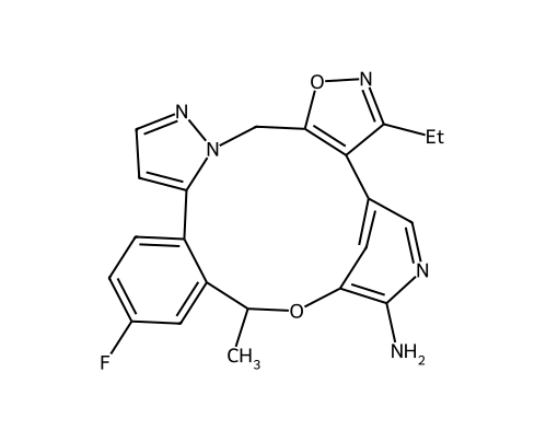 CCc1noc2c1-c1cnc(N)c(c1)OC(C)c1cc(F)ccc1-c1ccnn1C2